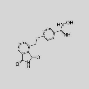 N=C(NO)c1ccc(CCc2cccc3c2C(=O)NC3=O)cc1